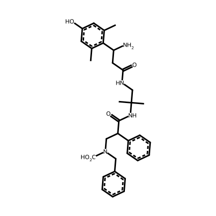 Cc1cc(O)cc(C)c1C(N)CC(=O)NCC(C)(C)NC(=O)C(CN(Cc1ccccc1)C(=O)O)c1ccccc1